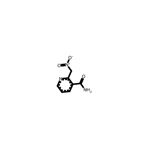 NC(=O)c1cccnc1C[N+](=O)[O-]